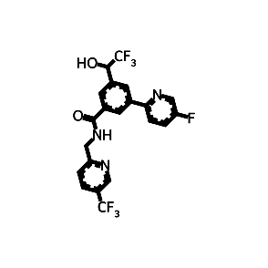 O=C(NCc1ccc(C(F)(F)F)cn1)c1cc(-c2ccc(F)cn2)cc(C(O)C(F)(F)F)c1